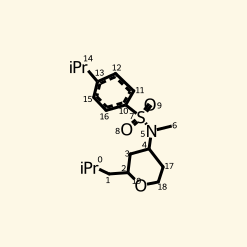 CC(C)CC1CC(N(C)S(=O)(=O)c2ccc(C(C)C)cc2)CCO1